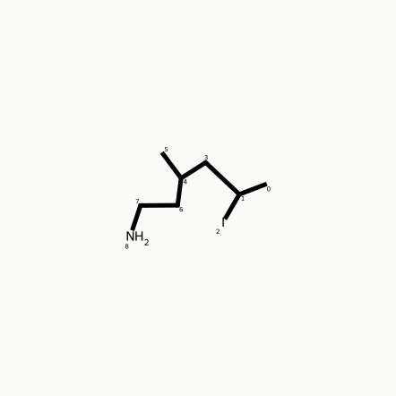 CC(I)CC(C)CCN